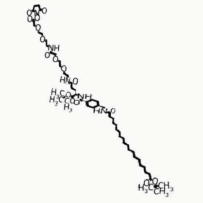 CC(C)(C)OC(=O)CCCCCCCCCCCCCCCCCCC(=O)NC[C@H]1CC[C@H](C(=O)N[C@@H](CCC(=O)NCCOCCOCC(=O)NCCOCCOCC(=O)ON2C(=O)CCC2=O)C(=O)OC(C)(C)C)CC1